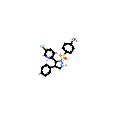 O=S(=O)(c1ccc(C(F)(F)F)cc1)N1NCC(c2ccccc2)C1c1ccc(Cl)cn1